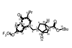 CC(C)c1cn(C[C@H]2C[C@H]3C[C@@H]2CN3C(=O)OC(C)(C)C)c2cc(OC(F)(F)F)nn2c1=O